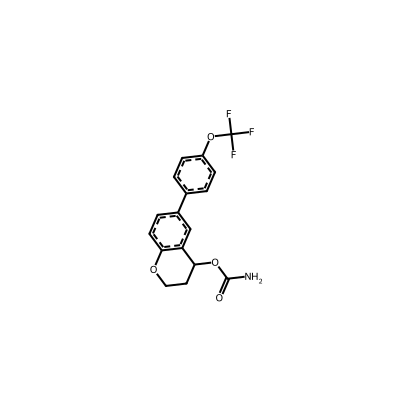 NC(=O)OC1CCOc2ccc(-c3ccc(OC(F)(F)F)cc3)cc21